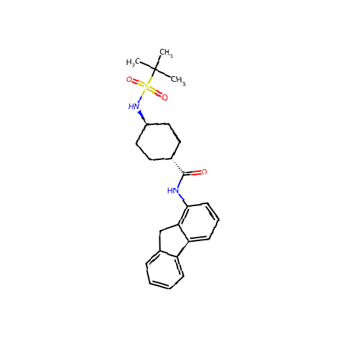 CC(C)(C)S(=O)(=O)N[C@H]1CC[C@H](C(=O)Nc2cccc3c2Cc2ccccc2-3)CC1